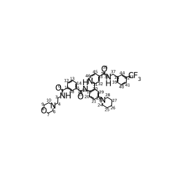 O=C(NCCN1CCOCC1)c1cccc(C(=O)Nc2ccc(N3CCCCC3)cc2-c2cc(C(=O)NCc3cccc(C(F)(F)F)c3)ccn2)c1